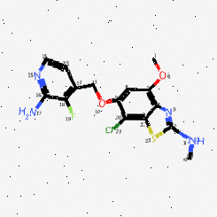 CNc1nc2c(OC)cc(OCc3ccnc(N)c3F)c(Cl)c2s1